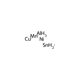 [AlH3].[Cu].[Mn].[Ni].[SnH2]